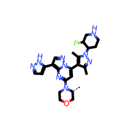 Cc1nn(C2CCNCC2F)c(C)c1-c1cc(N2CCOC[C@H]2C)nc2c(-c3ccn[nH]3)cnn12